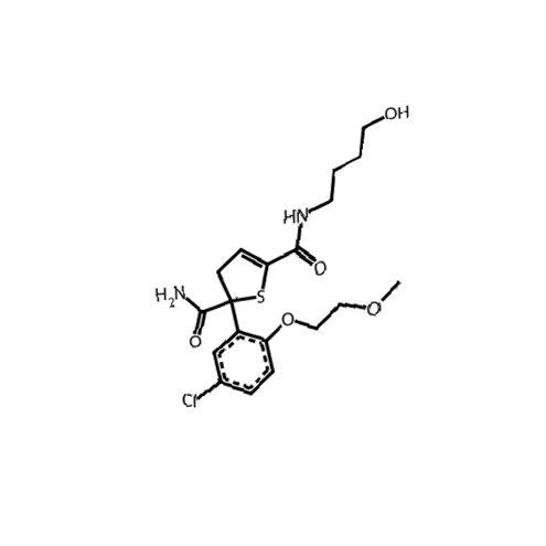 COCCOc1ccc(Cl)cc1C1(C(N)=O)CC=C(C(=O)NCCCCO)S1